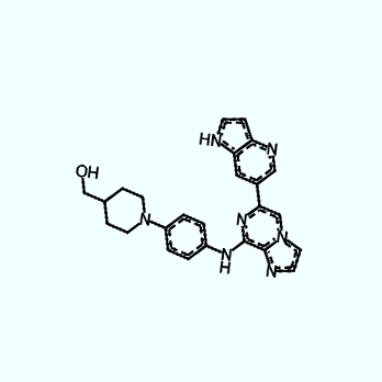 OCC1CCN(c2ccc(Nc3nc(-c4cnc5cc[nH]c5c4)cn4ccnc34)cc2)CC1